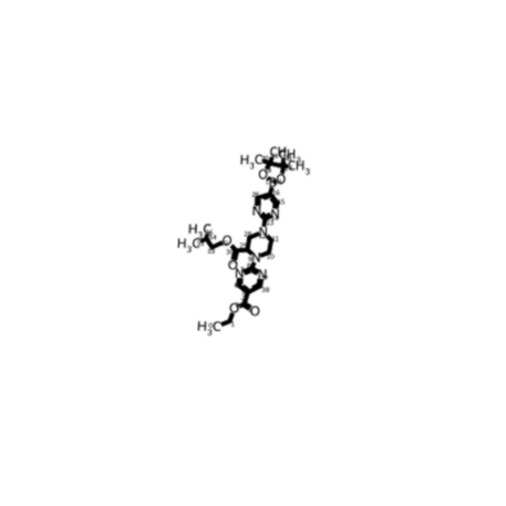 CCOC(=O)c1cnc(N2CCN(c3ncc(B4OC(C)(C)C(C)(C)O4)cn3)CC2C(=O)OCC(C)C)nc1